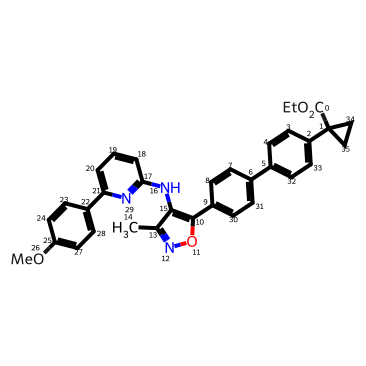 CCOC(=O)C1(c2ccc(-c3ccc(-c4onc(C)c4Nc4cccc(-c5ccc(OC)cc5)n4)cc3)cc2)CC1